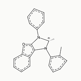 Cc1ccccc1N1c2c(oc3ccccc23)N(c2ccccc2)[C@@H]1C